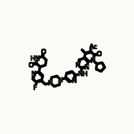 CC(=O)c1c(C)c2cnc(Nc3ccc(N4CCN(Cc5cc(C6CCC(=O)NC6=O)ncc5F)CC4)cn3)nc2n(C2CCCC2)c1=O